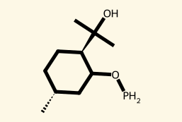 C[C@@H]1CC[C@@H](C(C)(C)O)C(OP)C1